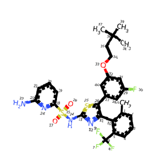 Cc1cccc(C(F)(F)F)c1-c1nc(NS(=O)(=O)c2cccc(N)n2)sc1-c1cc(F)cc(OCCC(C)(C)C)c1